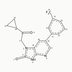 O=C(Cn1c(=O)[nH]c2ncc(-c3cccc(C(F)(F)F)c3)cc21)C1CC1